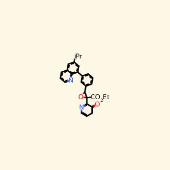 CCOC(=O)C1(C2=NC=CCC2=O)OC1c1cccc(-c2cc(C(C)C)cc3cccnc23)c1